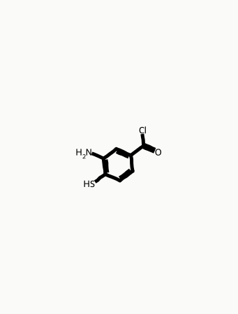 Nc1cc(C(=O)Cl)ccc1S